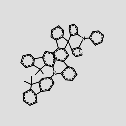 CC1(C)c2ccccc2-c2ccc(N(c3ccccc3-c3ccc4c(c3)C3(c5ccccc5-4)c4ccccc4N(c4ccccc4)c4ccccc43)c3cccc4c3C(C)(C)c3ccccc3-4)cc21